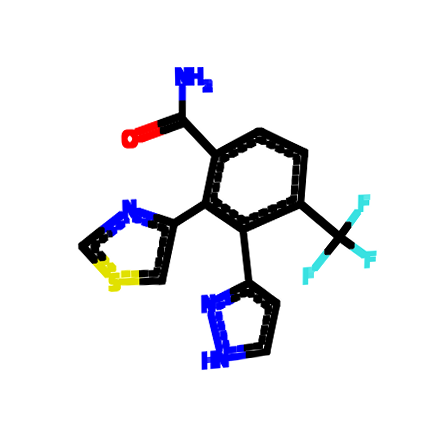 NC(=O)c1ccc(C(F)(F)F)c(-c2cc[nH]n2)c1-c1cscn1